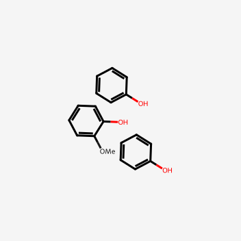 COc1ccccc1O.Oc1ccccc1.Oc1ccccc1